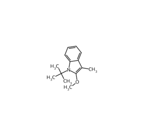 COc1c(C)c2ccccc2n1C(C)(C)C